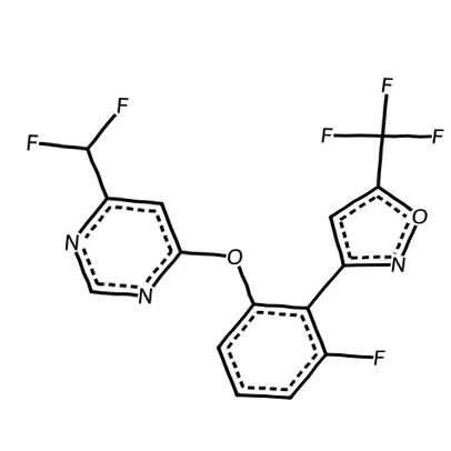 Fc1cccc(Oc2cc(C(F)F)ncn2)c1-c1cc(C(F)(F)F)on1